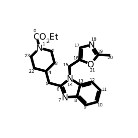 CCOC(=O)N1CCC(Cc2nc3ccccc3n2Cc2cnc(C)o2)CC1